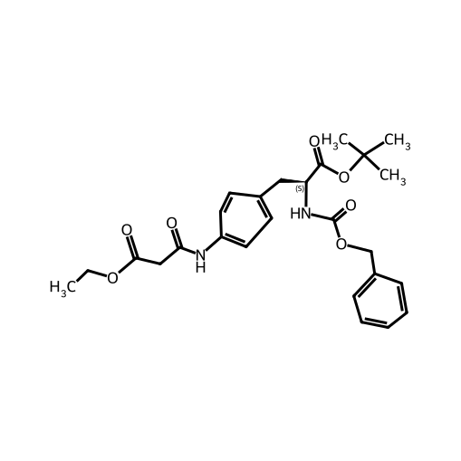 CCOC(=O)CC(=O)Nc1ccc(C[C@H](NC(=O)OCc2ccccc2)C(=O)OC(C)(C)C)cc1